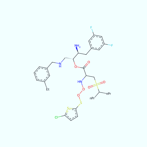 CCCC(CCC)S(=O)(=O)CC(NOOSc1ccc(Cl)s1)C(=O)O[C@H](CNCc1cccc(CC)c1)[C@@H](N)Cc1cc(F)cc(F)c1